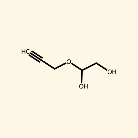 C#CCOC(O)CO